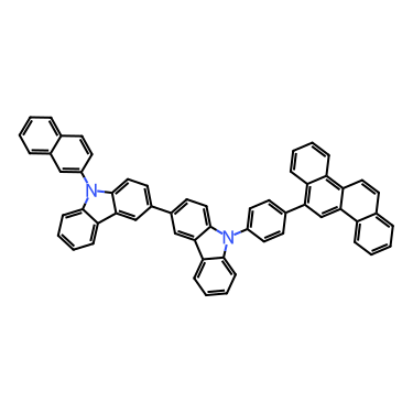 c1ccc2cc(-n3c4ccccc4c4cc(-c5ccc6c(c5)c5ccccc5n6-c5ccc(-c6cc7c8ccccc8ccc7c7ccccc67)cc5)ccc43)ccc2c1